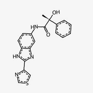 C[C@](O)(C(=O)Nc1ccc2[nH]c(-c3cscn3)nc2c1)c1ccccc1